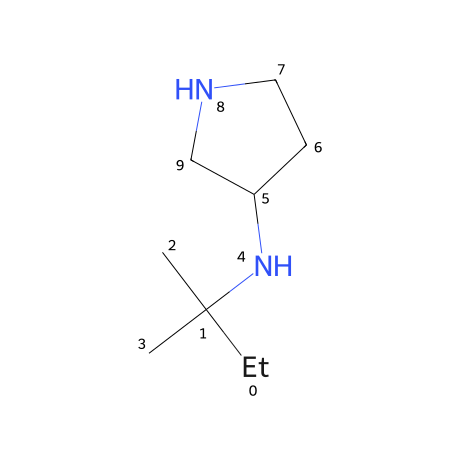 CCC(C)(C)NC1CCNC1